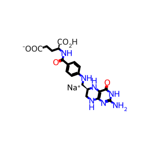 Nc1nc2c(c(=O)[nH]1)N[C@H](CNc1ccc(C(=O)N[C@@H](CCC(=O)[O-])C(=O)O)cc1)CN2.[Na+]